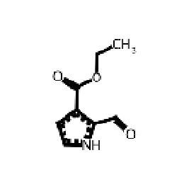 CCOC(=O)c1cc[nH]c1C=O